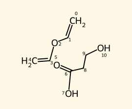 C=COC=C.O=C(O)CCO